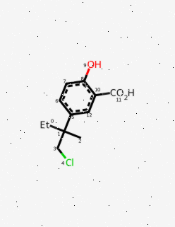 CCC(C)(CCl)c1ccc(O)c(C(=O)O)c1